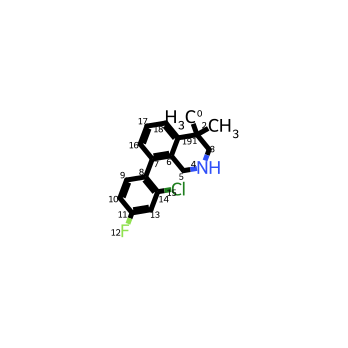 CC1(C)CNCc2c(-c3ccc(F)cc3Cl)cccc21